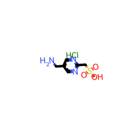 Cl.NCc1cnc(CS(=O)(=O)O)nc1